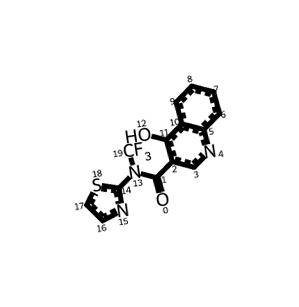 O=C(c1cnc2ccccc2c1O)N(c1nccs1)C(F)(F)F